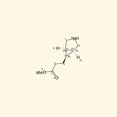 COC(=O)CC[C@H]1[C@H]2CNC[C@@H]12